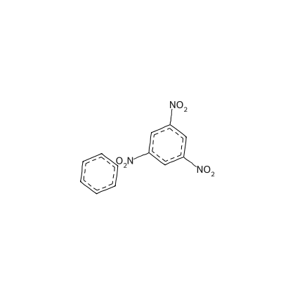 O=[N+]([O-])c1cc([N+](=O)[O-])cc([N+](=O)[O-])c1.c1ccccc1